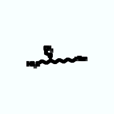 C=COC(CCCCCCCCCCCCCC)CCC(=O)O